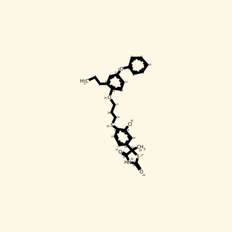 CCCc1cc(Oc2ccccc2)ccc1OCCCSc1ccc(C2(C)SC(=O)NC2=O)cc1Cl